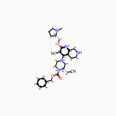 CN1CCC[C@H]1COc1nc2c(c(N3CCN(C(=O)OCc4ccccc4)[C@@H](CC#N)C3)c1C#N)CCNC2